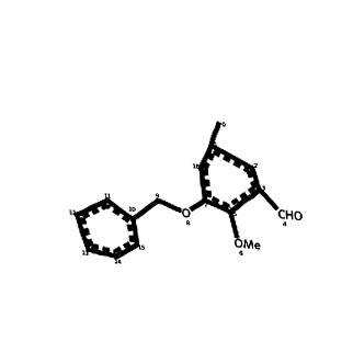 [CH2]c1cc(C=O)c(OC)c(OCc2ccccc2)c1